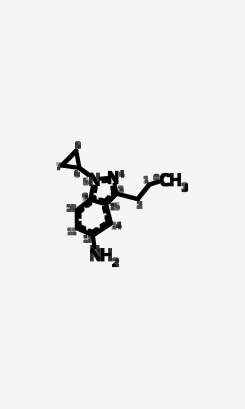 CCCc1nn(C2CC2)c2ccc(N)cc12